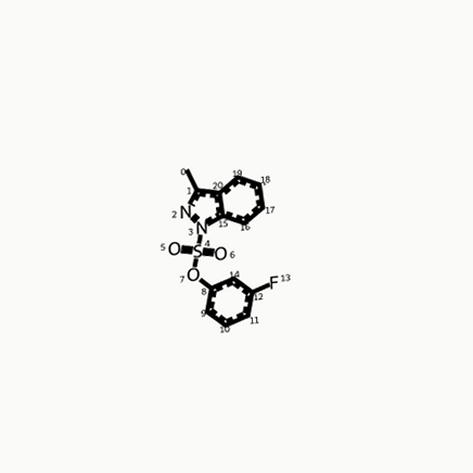 Cc1nn(S(=O)(=O)Oc2cccc(F)c2)c2cc[c]cc12